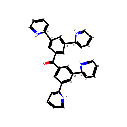 O=C(c1cc(-c2ccccn2)cc(-c2ccccn2)c1)c1cc(-c2ccccn2)cc(-c2ccccn2)c1